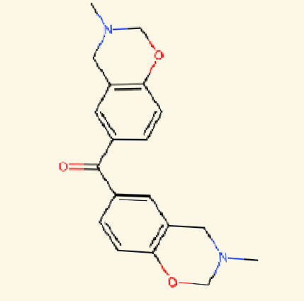 CN1COc2ccc(C(=O)c3ccc4c(c3)CN(C)CO4)cc2C1